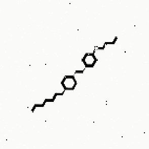 CCCCCCC[C@H]1CC[C@H](CC[C@H]2CC[C@H](OCCCC)CC2)CC1